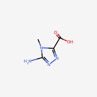 Cn1c(N)nnc1C(=O)O